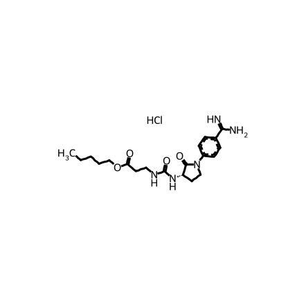 CCCCCOC(=O)CCNC(=O)N[C@H]1CCN(c2ccc(C(=N)N)cc2)C1=O.Cl